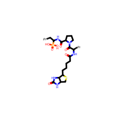 CC(C)CC(NC(=O)C1CCCN1C(=O)C(NC(=O)CCCCC1SCC2NC(=O)NC21)C(C)C)P(=O)(O)O